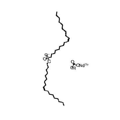 CCCCCCCC/C=C\CCCCCCCCOP(=O)([O-])CCCCCCCC/C=C\CCCCCCCC.O=[PH]([O-])[O-].[Nd+3]